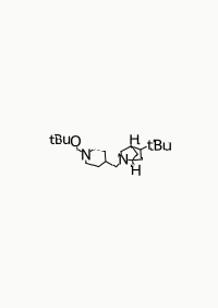 CC(C)(C)OCN1CCC(CN2C[C@H]3C[C@@H]2CC3C(C)(C)C)CC1